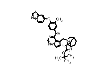 Cc1cc(Nc2ncnn3ccc(CN4CC5CC[C@H](C4)[C@H](NC(=O)OC(C)(C)C)C5)c23)ccc1Oc1ccn2ncnc2c1